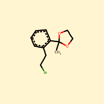 CC1(c2ccccc2CCBr)OCCO1